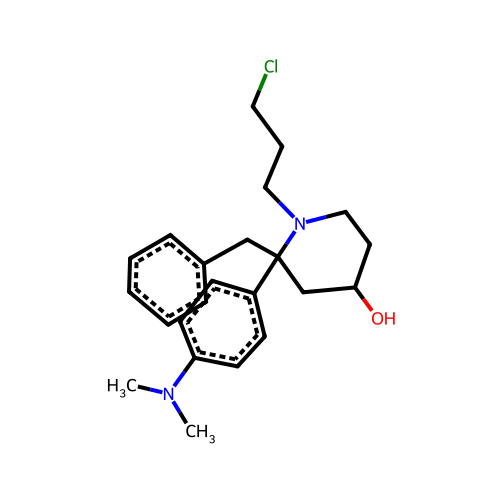 CN(C)c1ccc(C2(Cc3ccccc3)CC(O)CCN2CCCCl)cc1